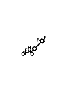 O=C(NCC1(F)COC1)c1ccc(C#Cc2ccc(F)cc2F)cc1